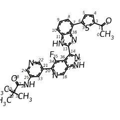 CC(=O)c1ccc(-c2cccc3[nH]c(-c4n[nH]c5cnc(-c6cncc(NC(=O)C(C)(C)C)c6)c(F)c45)nc23)s1